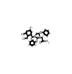 C[C@@H](c1cc(F)cc(Cl)c1CCl)N1C[C@H](Oc2ccccc2)N(CC(N)=O)[C@H]1Oc1ccccc1